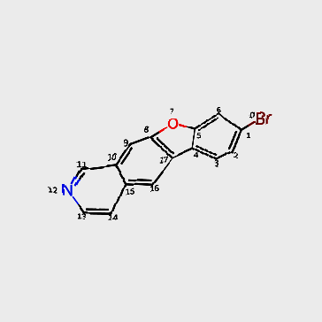 Brc1ccc2c(c1)oc1cc3cnccc3cc12